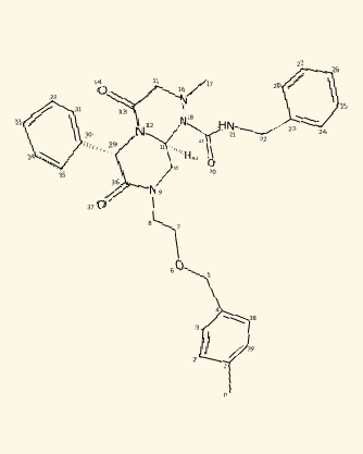 Cc1ccc(COCCN2C[C@H]3N(C(=O)CN(C)N3C(=O)NCc3ccccc3)[C@@H](c3ccccc3)C2=O)cc1